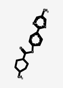 Cc1cnc(-c2ccc(OC(=O)C3CCC(C)CC3)cc2)nc1